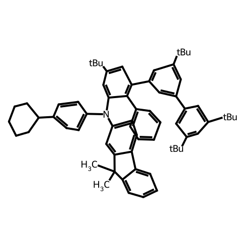 CC(C)(C)c1cc(-c2cc(C(C)(C)C)cc(C(C)(C)C)c2)cc(-c2cc(C(C)(C)C)cc(N(c3ccc(C4CCCCC4)cc3)c3ccc4c(c3)C(C)(C)c3ccccc3-4)c2-c2ccccc2)c1